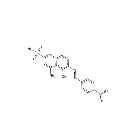 Nc1cc(S(=O)(=O)O)cc2ccc(N=Nc3ccc([N+](=O)[O-])cc3)c(O)c12